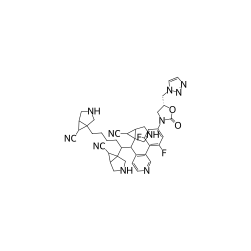 N#CC1C2CNCC12CCCCC(C(c1ccncc1-c1c(F)cc(N2C[C@H](Cn3ccnn3)OC2=O)cc1F)C12CNCC1C2C#N)C12CNCC1C2C#N